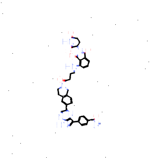 CN(C)C(=O)c1ccc(-c2c[nH]c3ncc(-c4ccc5c(c4)CCN(C(=O)CCCNc4cccc6c4C(=O)N(C4CCC(=O)NC4=O)C6=O)C5)nc23)cc1